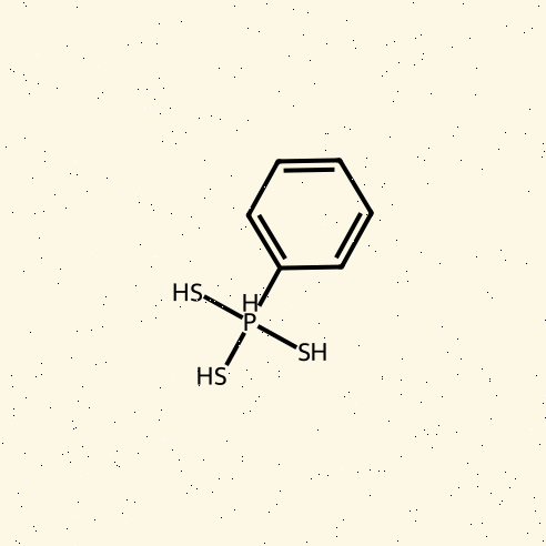 S[PH](S)(S)c1ccccc1